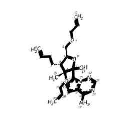 C=CCC[C@@H]1[C@@H](COCC=C)OC(O)(c2ccc3c(N)ncnn23)[C@]1(C)OCC=C